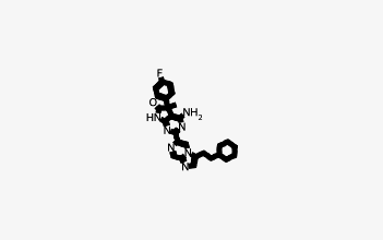 CC1(c2ccc(F)cc2)C(=O)Nc2nc(-c3cn4c(CCC5CCCCC5)cnc4cn3)nc(N)c21